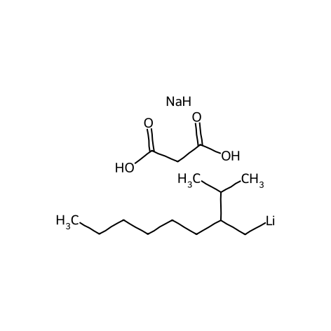 O=C(O)CC(=O)O.[Li][CH2]C(CCCCCC)C(C)C.[NaH]